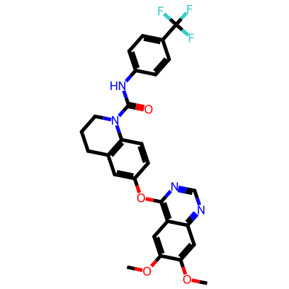 COc1cc2ncnc(Oc3ccc4c(c3)CCCN4C(=O)Nc3ccc(C(F)(F)F)cc3)c2cc1OC